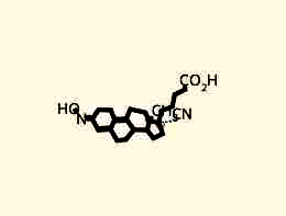 C[C@]12CCC3=C4CCC(=NO)C=C4CCC3C1CC[C@]2(CC#N)CCCCC(=O)O